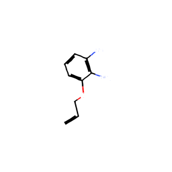 C=CCOc1cccc(N)c1N